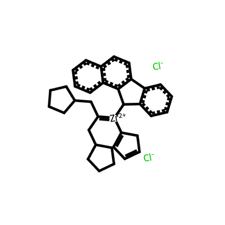 C1=CC[C]([Zr+2](=[C](CC2CCCC2)CC2CCCC2)[CH]2c3ccccc3-c3ccc4ccccc4c32)=C1.[Cl-].[Cl-]